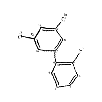 Fc1ccc[c]c1-c1cc(Cl)cc(Cl)c1